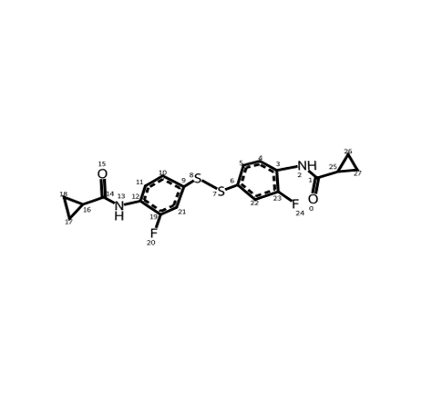 O=C(Nc1ccc(SSc2ccc(NC(=O)C3CC3)c(F)c2)cc1F)C1CC1